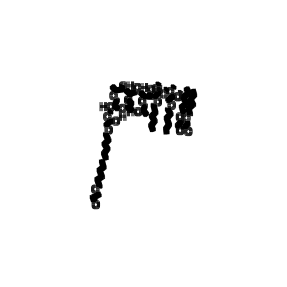 CC(O)COC(C)CO.CC(O)COC(C)CO.CC(O)COC(C)CO.CCCCCCOCC(OC)OC.CCCCCCOCC(OC)OC.CCCCCCOCC(OC)OC.CCCCCCOCC=O.CCCCCCOCC=O.CCCCCCOCC=O